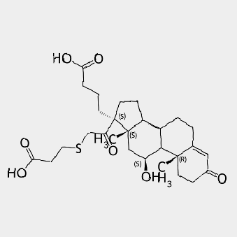 C[C@]12CCC(=O)C=C1CCC1C2[C@@H](O)C[C@@]2(C)C1CC[C@]2(CCCC(=O)O)C(=O)CSCCC(=O)O